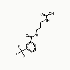 O=C(O)NCCCNC(=O)c1cccc(C(F)(F)F)c1